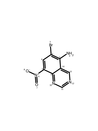 Nc1c(Br)cc([N+](=O)[O-])c2ncncc12